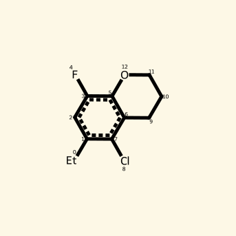 CCc1cc(F)c2c(c1Cl)CCCO2